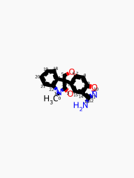 CN1C(=O)C2(COc3cc4onc(N)c4cc32)c2ccccc21